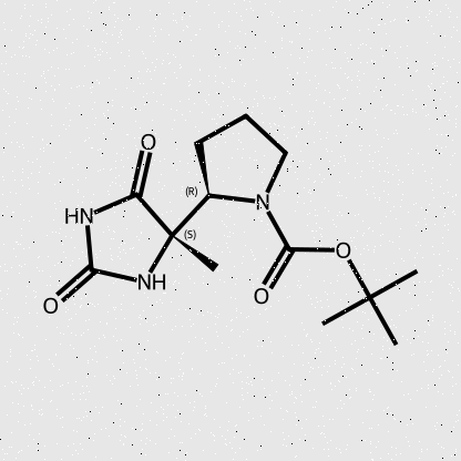 CC(C)(C)OC(=O)N1CCC[C@@H]1[C@]1(C)NC(=O)NC1=O